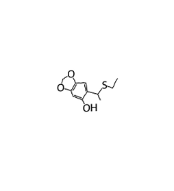 CCSC(C)c1cc2c(cc1O)OCO2